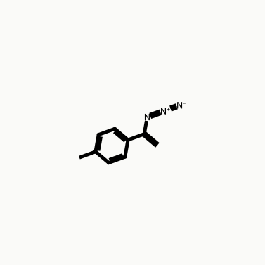 C=C(N=[N+]=[N-])c1ccc(C)cc1